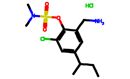 CCC(C)c1cc(Cl)c(OS(=O)(=O)N(C)C)c(CN)c1.Cl